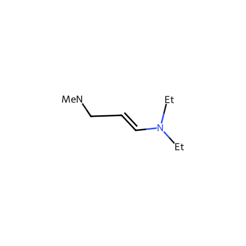 CCN(C=CCNC)CC